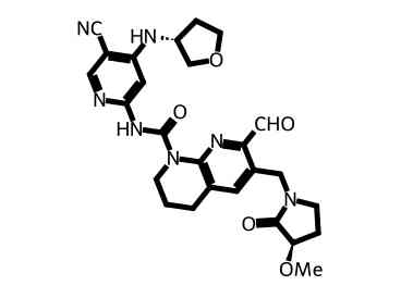 CO[C@@H]1CCN(Cc2cc3c(nc2C=O)N(C(=O)Nc2cc(N[C@@H]4CCOC4)c(C#N)cn2)CCC3)C1=O